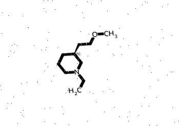 [CH2]CN1CCC[C@@H](CCOC)C1